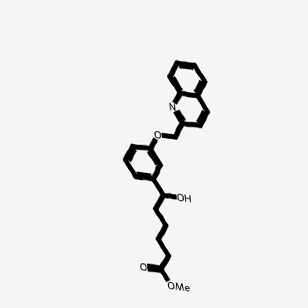 COC(=O)CCCCC(O)c1cccc(OCc2ccc3ccccc3n2)c1